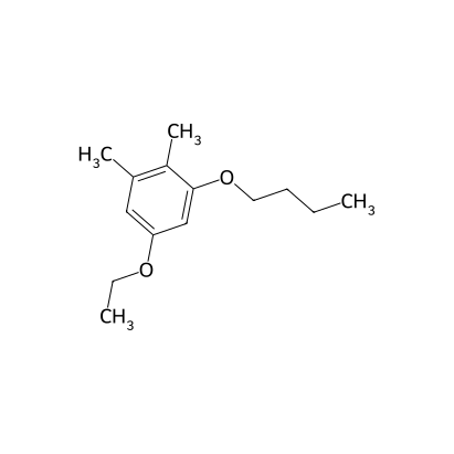 CCCCOc1cc(OCC)cc(C)c1C